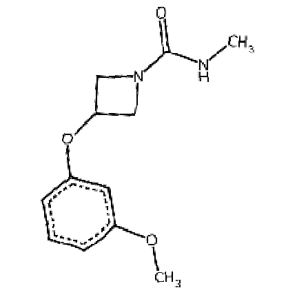 CNC(=O)N1CC(Oc2cccc(OC)c2)C1